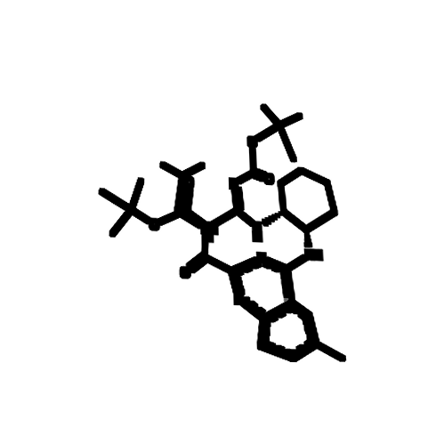 Cc1ccc2nc(C(=O)NCC(C)C)nc(N[C@H]3CCCC[C@H]3NC(=NC(=O)OC(C)(C)C)NC(=O)OC(C)(C)C)c2c1